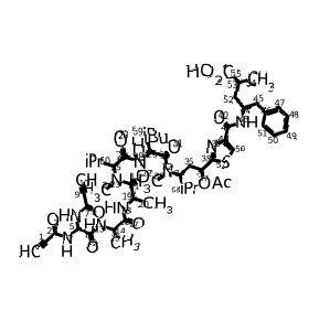 C#CC(=O)NC(NC(=O)C#C)C(=O)NC(C)C(=O)NC(C)C(=O)N(C)C(C(=O)NC(C(=O)N(C)C(CC(OC(C)=O)c1nc(C(=O)NC(Cc2ccccc2)CC(C)C(=O)O)cs1)C(C)C)C(C)CC)C(C)C